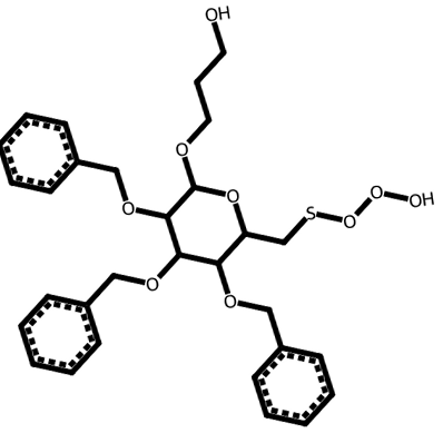 OCCCOC1OC(CSOOO)C(OCc2ccccc2)C(OCc2ccccc2)C1OCc1ccccc1